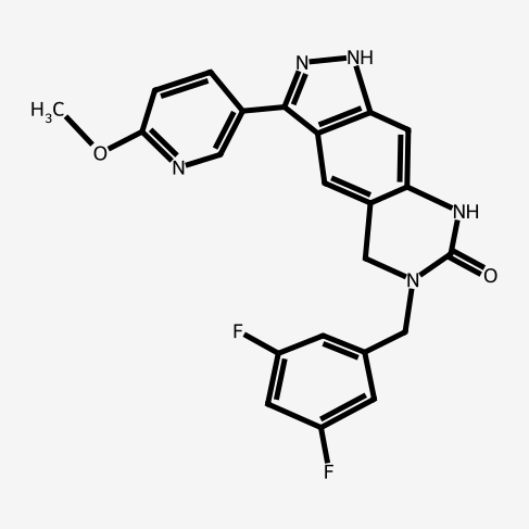 COc1ccc(-c2n[nH]c3cc4c(cc23)CN(Cc2cc(F)cc(F)c2)C(=O)N4)cn1